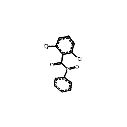 O=C(c1c(Cl)cccc1Cl)[P](=O)c1ccccc1